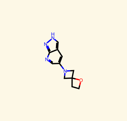 c1nc2n[nH]cc2cc1N1CC2(CCO2)C1